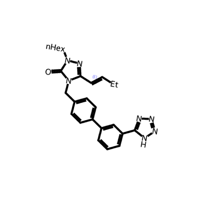 CC/C=C/c1nn(CCCCCC)c(=O)n1Cc1ccc(-c2cccc(-c3nnn[nH]3)c2)cc1